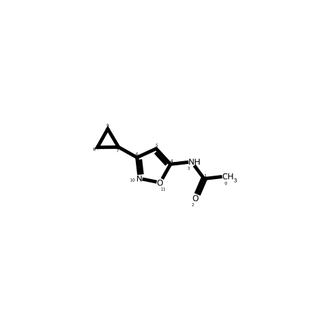 CC(=O)Nc1cc(C2CC2)no1